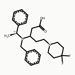 C[C@@H](c1ccccc1)N(Cc1ccccc1)C(CCN1CCC(F)(F)CC1)CC(=O)O